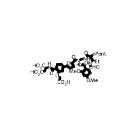 CCCCCC(C(=O)NCNC(=O)c1ccc(-c2ccc(C(=O)NC(CC(=O)O)C(=O)O)c(OCC(=O)O)c2)o1)[C@@H](CC)N(C=O)OC(=O)c1ccc(OC)cc1OC